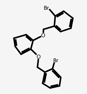 Brc1ccccc1COc1ccccc1OCc1ccccc1Br